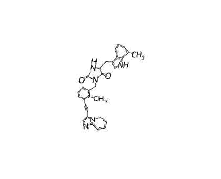 Cc1c(C#Cc2cnc3ccccn23)cccc1CN1C(=O)NC(Cc2c[nH]c3c(C)cccc23)C1=O